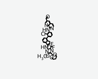 COc1nc(N[C@H]2CCc3c(-c4cccc(Nc5nccc6cc(C=O)cnc56)c4Cl)cccc32)c(C(F)(F)F)nc1C1OCCCO1